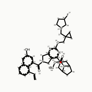 C=Cc1cccc2cc(O)cc(C(=O)N3Cc4nc(OCC5(CN6CCC(F)C6)CC5)nc(N5CC6CCC(C5)N6C(=O)OC(C)(C)C)c4C3)c12